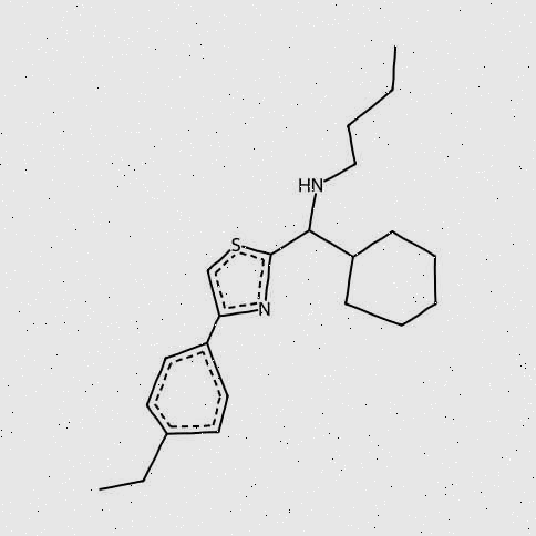 CCCCNC(c1nc(-c2ccc(CC)cc2)cs1)C1CCCCC1